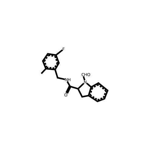 Cc1ccc(F)cc1CNC(=O)C1Cc2ccccc2N1C=O